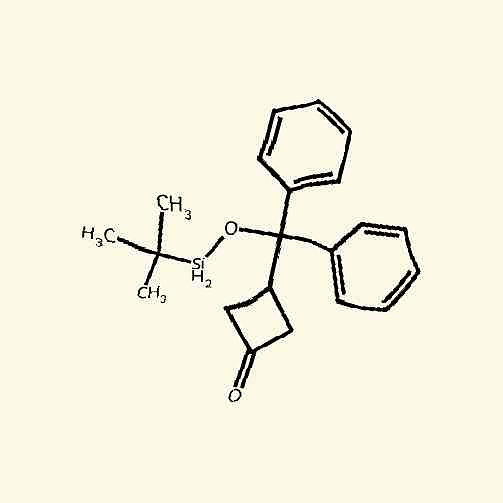 CC(C)(C)[SiH2]OC(c1ccccc1)(c1ccccc1)C1CC(=O)C1